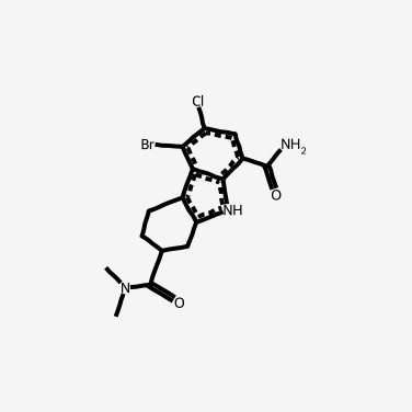 CN(C)C(=O)C1CCc2c([nH]c3c(C(N)=O)cc(Cl)c(Br)c23)C1